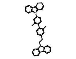 Cc1cc(CCC2c3ccccc3-c3ccccc32)ccc1-c1ccc(-n2c3c(c4ccccc42)CCC=C3)cc1C